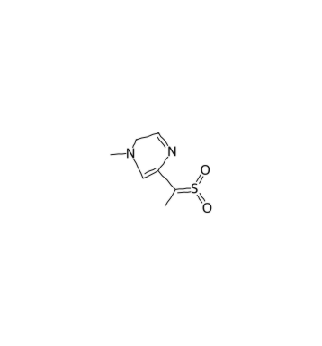 CC(C1=CN(C)CC=N1)=S(=O)=O